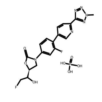 Cn1nnc(-c2ccc(-c3ccc(N4C[C@@H](C(O)CF)OC4=O)cc3F)cn2)n1.O=P(O)(O)O